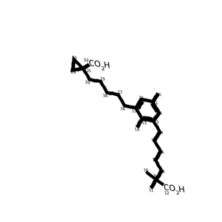 Cc1cc(CCCCCC(C)(C)C(=O)O)c(C)c(CCCCCC2(C(=O)O)CC2)c1